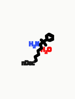 CCCCCCCCCCCCCCCC(N)C(C)(C)c1ccccc1.O